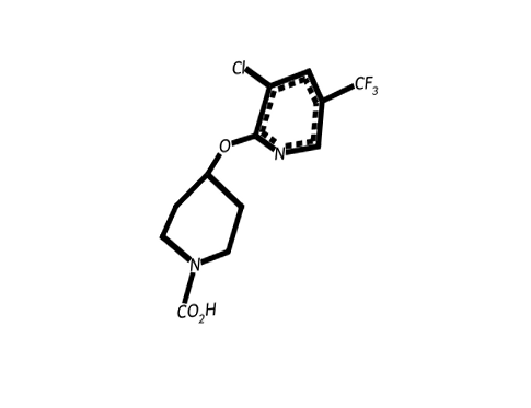 O=C(O)N1CCC(Oc2ncc(C(F)(F)F)cc2Cl)CC1